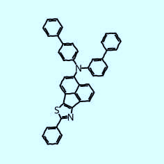 c1ccc(-c2ccc(N(c3cccc(-c4ccccc4)c3)c3ccc4c5c(cccc35)-c3nc(-c5ccccc5)sc3-4)cc2)cc1